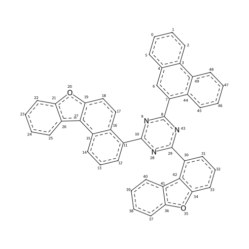 c1ccc2c(c1)cc(-c1nc(-c3cccc4c3ccc3oc5ccccc5c34)nc(-c3cccc4oc5ccccc5c34)n1)c1ccccc12